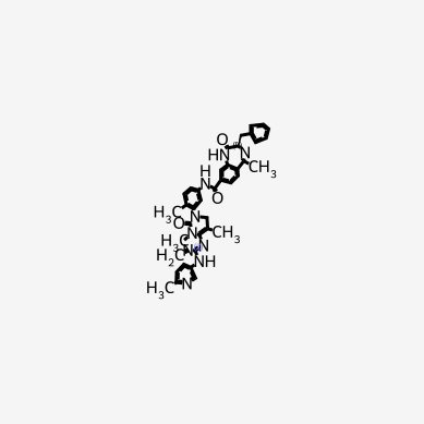 C=N/C(=N\C1=C(C)CN(c2cc(NC(=O)c3ccc4c(c3)NC(=O)[C@@H](Cc3ccccc3)N=C4C)ccc2C)C(=O)N1C)Nc1ccc(C)nc1